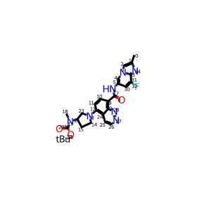 Cc1cn2cc(NC(=O)c3ccc(N4CCC(N(C)C(=O)OC(C)(C)C)C4)c4ccnnc34)cc(F)c2n1